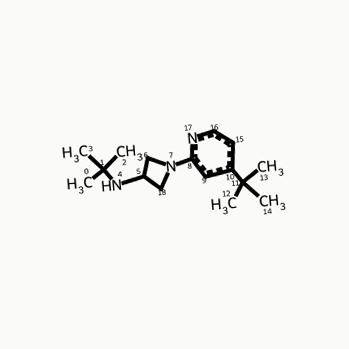 CC(C)(C)NC1CN(c2cc(C(C)(C)C)ccn2)C1